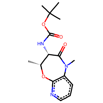 C[C@H]1Oc2ncccc2N(C)C(=O)[C@H]1NC(=O)OC(C)(C)C